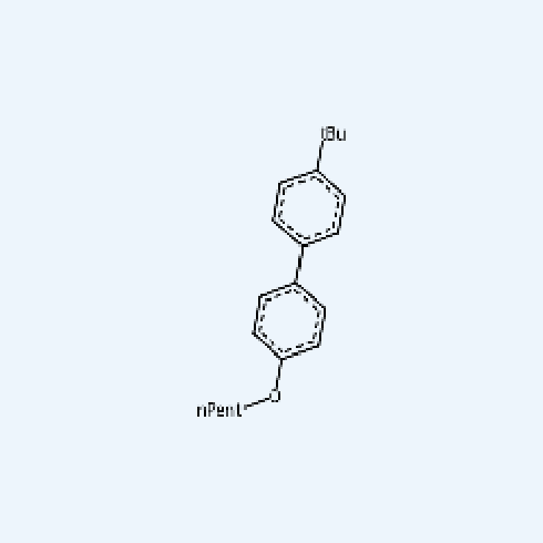 CCCCCOc1ccc(-c2ccc(C(C)(C)C)cc2)cc1